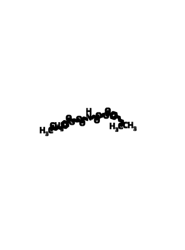 CC(C)=CCCC1=CCC(C(=O)OCCOC(=O)CCNCCC(=O)OCCOC(=O)C2CC=C(CCC=C(C)C)CC2)CC1